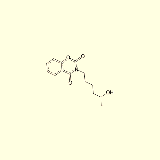 C[C@@H](O)CCCCn1c(=O)oc2ccccc2c1=O